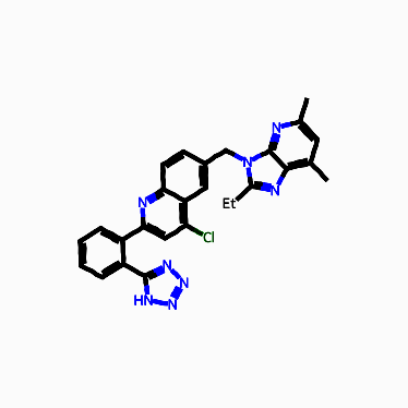 CCc1nc2c(C)cc(C)nc2n1Cc1ccc2nc(-c3ccccc3-c3nnn[nH]3)cc(Cl)c2c1